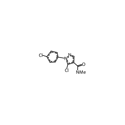 CNC(=O)c1cnn(-c2ccc(Cl)cc2)c1Cl